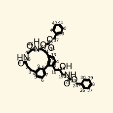 O=C1CCc2cccc(c2)-c2cc(ccc2C[C@@H](O)CNC(=O)OCc2ccccc2)C[C@H](OC(=O)OCc2ccccc2)NC(=O)CN1